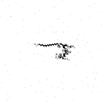 CCCCCCCCCCCCCCCC[S+]([O-])CC(COC)COP(=O)([O-])OCC[N+](C)(C)C